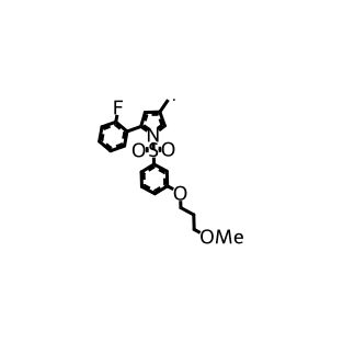 [CH2]c1cc(-c2ccccc2F)n(S(=O)(=O)c2cccc(OCCCOC)c2)c1